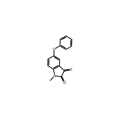 CN1C(=O)C(=O)c2cc(Oc3ccccc3)ccc21